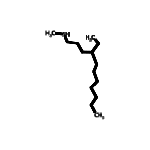 CCCCCCCC(CC)CCCNC